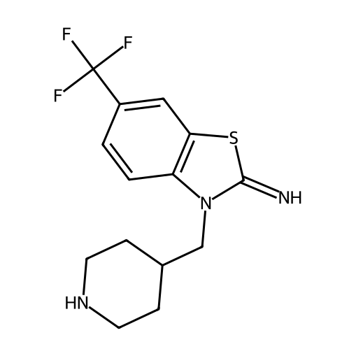 N=c1sc2cc(C(F)(F)F)ccc2n1CC1CCNCC1